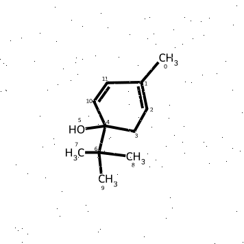 CC1=CCC(O)(C(C)(C)C)C=C1